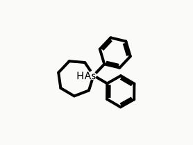 c1ccc([AsH]2(c3ccccc3)CCCCCC2)cc1